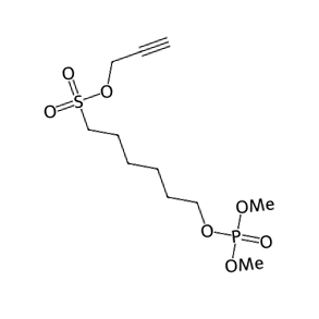 C#CCOS(=O)(=O)CCCCCCOP(=O)(OC)OC